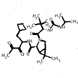 CC(=O)C(=O)C(CC1CCC1)NC(=O)[C@@H]1C2C(CN1C(=O)[C@@H](NC(=O)NC(C)C)C(C)(C)C)C2(C)C